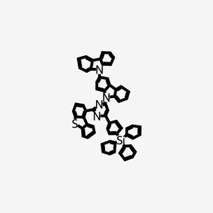 c1ccc([Si](c2ccccc2)(c2ccccc2)c2ccc(-c3cc(-n4c5ccccc5c5cc(-n6c7ccccc7c7ccccc76)ccc54)nc(-c4cccc5sc6ccccc6c45)n3)cc2)cc1